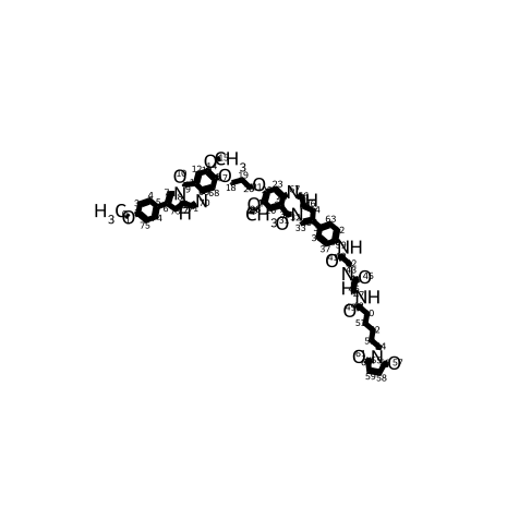 COc1ccc(C2=CN3C(=O)c4cc(OC)c(OCCCOc5cc6c(cc5OC)C(=O)N5C=C(c7ccc(NC(=O)CNC(=O)CNC(=O)CCCCCN8C(=O)C=CC8=O)cc7)C[C@H]5C=N6)cc4N=C[C@@H]3C2)cc1